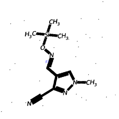 Cn1cc(/C=N/O[Si](C)(C)C)c(C#N)n1